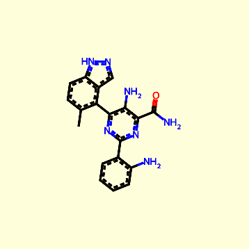 Cc1ccc2[nH]ncc2c1-c1nc(-c2ccccc2N)nc(C(N)=O)c1N